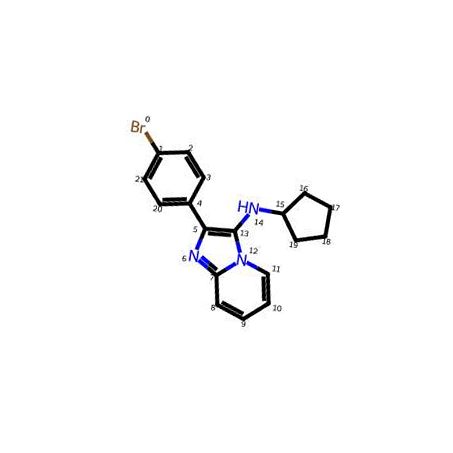 Brc1ccc(-c2nc3ccccn3c2NC2CCCC2)cc1